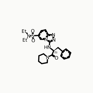 CCN(CC)S(=O)(=O)c1ccc2nnc(N[C@@H](Cc3ccccc3)C(=O)N3CCCCC3)n2c1